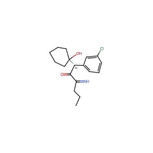 C[CH]CC(=N)C(=O)[C@@H](c1cccc(Cl)c1)C1(O)CCCCC1